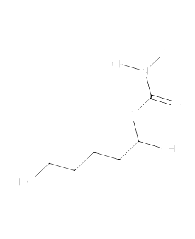 CCCCCC(C)OC(=O)N(Cl)Cl